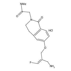 CNC(=O)CN1CCc2cc(OC/C(=C\F)CN)ccc2C1=O.Cl